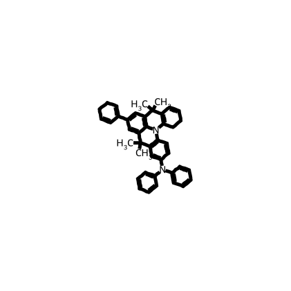 CC1(C)C2=C(CCC=C2)N2c3ccc(N(c4ccccc4)c4ccccc4)cc3C(C)(C)c3cc(C4=CCCC=C4)cc1c32